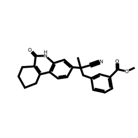 COC(=O)c1cccc(CC(C)(C#N)c2ccc3c4c(c(=O)[nH]c3c2)CCCC4)c1